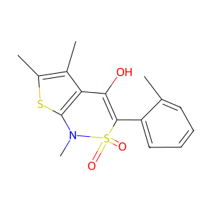 Cc1ccccc1C1=C(O)c2c(sc(C)c2C)N(C)S1(=O)=O